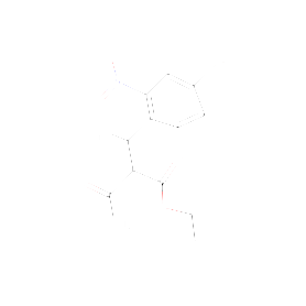 CCOC(=O)C(C(C)=O)C(C)c1ccc(Br)cc1[N+](=O)[O-]